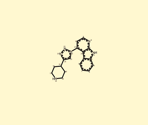 c1ccc2c(c1)[nH]c1nccc(-n3cc(C4CCNCC4)nn3)c12